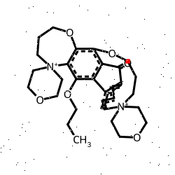 CCCOc1c2c3c(c4c1[N+]1(CCCO4)CCOCC1)OCCC[N+]1(CCOCC1)c1cccc(c1-2)C3=O